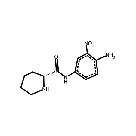 Nc1ccc(NC(=O)[C@H]2CCCCN2)cc1[N+](=O)[O-]